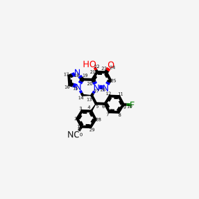 N#Cc1ccc([C@H](c2ccc(F)cc2)[C@H]2Cn3ccnc3-c3c(O)c(=O)cnn32)cc1